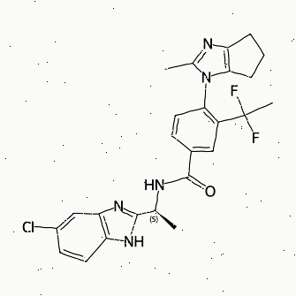 Cc1nc2c(n1-c1ccc(C(=O)N[C@@H](C)c3nc4cc(Cl)ccc4[nH]3)cc1C(C)(F)F)CCC2